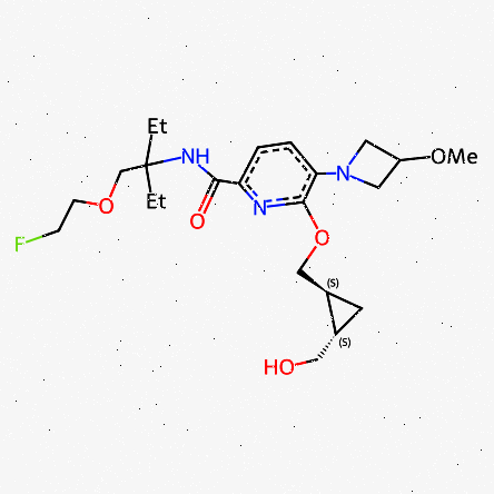 CCC(CC)(COCCF)NC(=O)c1ccc(N2CC(OC)C2)c(OC[C@H]2C[C@@H]2CO)n1